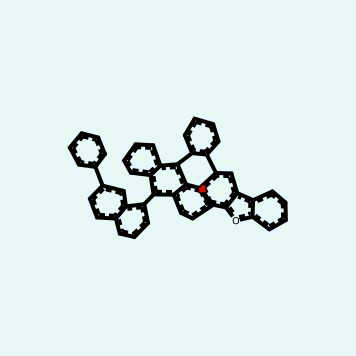 c1ccc(-c2ccc3cccc(-c4c5ccccc5c(-c5ccccc5-c5ccc6oc7ccccc7c6c5)c5ccccc45)c3c2)cc1